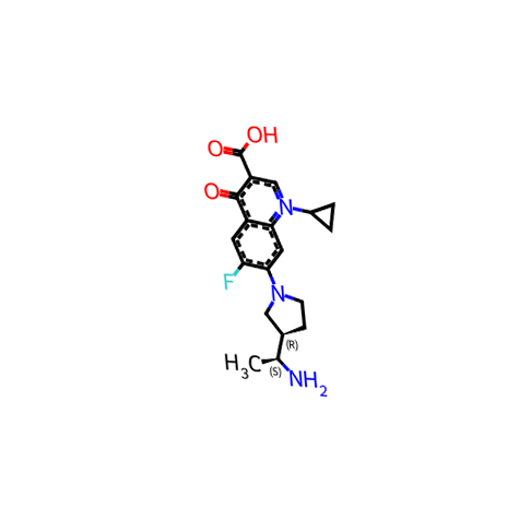 C[C@H](N)[C@@H]1CCN(c2cc3c(cc2F)c(=O)c(C(=O)O)cn3C2CC2)C1